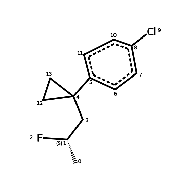 C[C@H](F)CC1(c2ccc(Cl)cc2)CC1